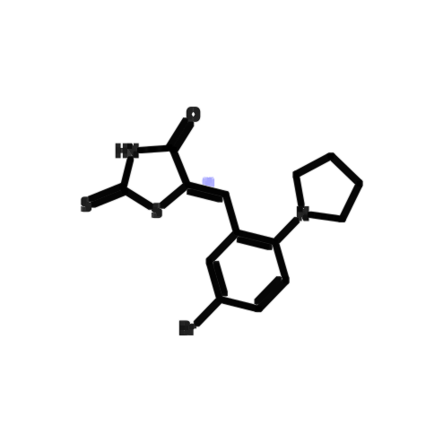 O=C1NC(=S)S/C1=C\c1cc(Br)ccc1N1CCCC1